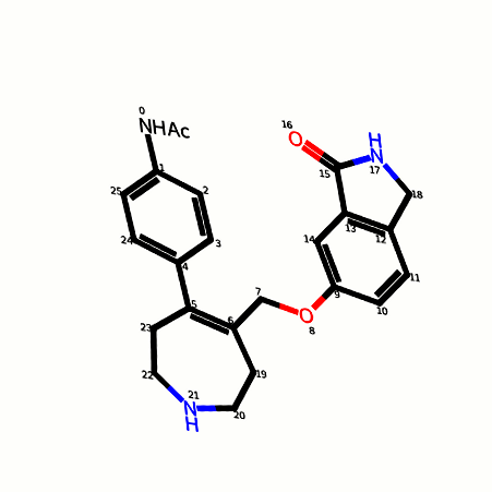 CC(=O)Nc1ccc(C2=C(COc3ccc4c(c3)C(=O)NC4)CCNCC2)cc1